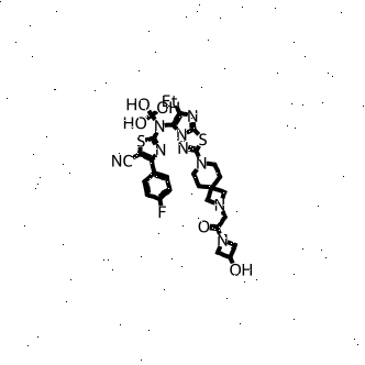 CCc1nc2sc(N3CCC4(CC3)CN(CC(=O)N3CC(O)C3)C4)nn2c1N(c1nc(-c2ccc(F)cc2)c(C#N)s1)C(O)(O)O